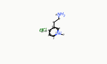 C[n+]1cccc(CCN)c1.Cl.[Cl-]